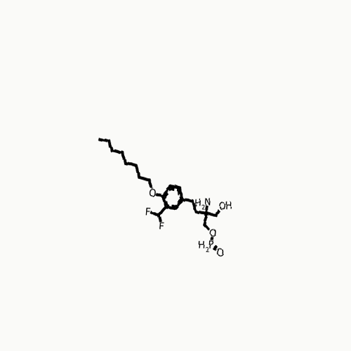 CCCCCCCCOc1ccc(CCC(N)(CO)CO[PH2]=O)cc1C(F)F